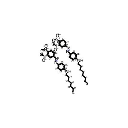 CCCCCCCCNc1ccc(/N=N/c2ccc([N+](=O)[O-])c([N+](=O)[O-])c2)cc1.CCCCCCCNc1ccc(/N=N/c2ccc([N+](=O)[O-])c([N+](=O)[O-])c2)cc1